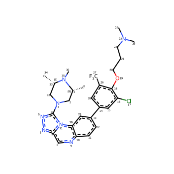 C[C@@H]1CN(c2nnc3cnc4ccc(-c5cc(Cl)c(OCCCN(C)C)c(C(F)(F)F)c5)cc4n23)C[C@H](C)N1C